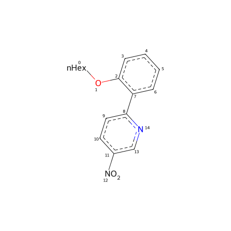 CCCCCCOc1ccccc1-c1ccc([N+](=O)[O-])cn1